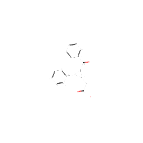 O=C(O)CC1C(C(=O)c2ccccc2)C1c1ccccc1